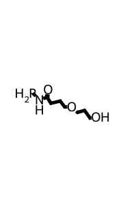 O=C(CCCOCCCO)NP